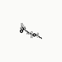 CCCCOC(=O)c1ccc(NC(=O)NCCCCn2cnc3c(N)nc4ccccc4c32)cc1